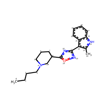 CCCCN1CCCC(c2nc(-c3c(C)[nH]c4ccccc34)no2)C1